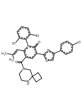 CCc1cccc(CC)c1-n1c(C=C(C)C)c(C(=O)N2CCNC3(CCC3)C2)cc(-c2nc(-c3ccc(Cl)cc3)cs2)c1=O